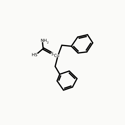 NC(=S)S.c1ccc([CH2][Cu][CH2]c2ccccc2)cc1